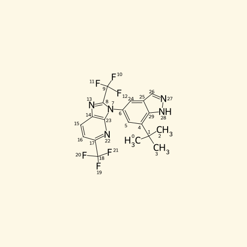 CC(C)(C)c1cc(-n2c(C(F)(F)F)nc3ccc(C(F)(F)F)nc32)cc2cn[nH]c12